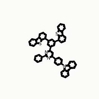 c1ccc(-c2nc(-c3ccc(-n4c5ccccc5c5ccccc54)cc3)cc(-c3cc(-c4cccc5c4sc4ccccc45)cc(-c4cccc5c4sc4ccccc45)c3)n2)cc1